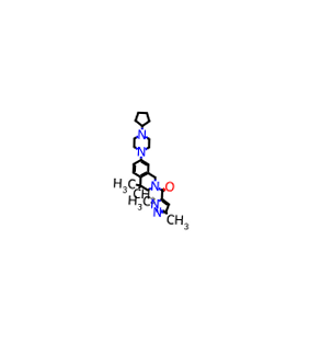 Cc1cc(C(=O)N2Cc3cc(N4CCN(C5CCCC5)CC4)ccc3C(C)(C)C2)n(C)n1